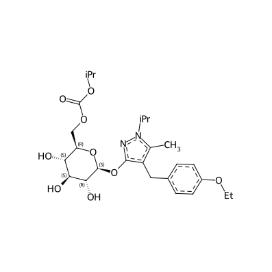 CCOc1ccc(Cc2c(O[C@@H]3O[C@H](COC(=O)OC(C)C)[C@@H](O)[C@H](O)[C@H]3O)nn(C(C)C)c2C)cc1